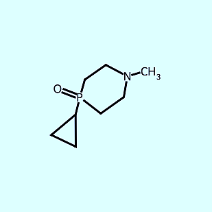 CN1CCP(=O)(C2CC2)CC1